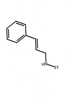 [CH2]CNC/C=C/c1ccccc1